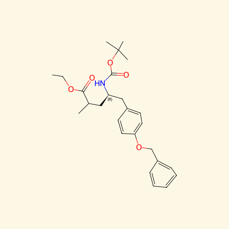 CCOC(=O)C(C)C[C@H](Cc1ccc(OCc2ccccc2)cc1)NC(=O)OC(C)(C)C